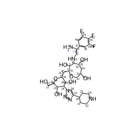 N/C(=C\NC1C(O)[C@H](S[C@@H]2O[C@H](CO)C(O)C(n3cc(C4CCNCC4)nn3)[C@H]2O)OCC(O)C[C@@H]1O)c1cc(F)c(F)c(F)c1